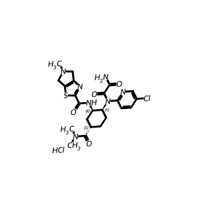 CN1Cc2nc(C(=O)N[C@@H]3C[C@@H](C(=O)N(C)C)CC[C@@H]3N(C(=O)C(N)=O)c3ccc(Cl)cn3)sc2C1.Cl